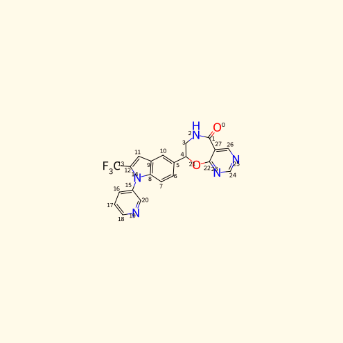 O=C1NCC(c2ccc3c(c2)cc(C(F)(F)F)n3-c2cccnc2)Oc2ncncc21